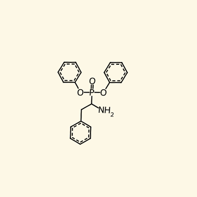 NC(Cc1ccccc1)P(=O)(Oc1ccccc1)Oc1ccccc1